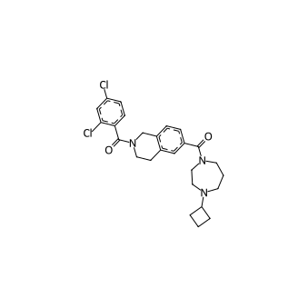 O=C(c1ccc2c(c1)CCN(C(=O)c1ccc(Cl)cc1Cl)C2)N1CCCN(C2CCC2)CC1